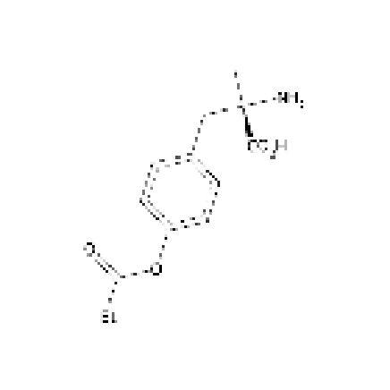 CCC(=O)Oc1ccc(C[C@](C)(N)C(=O)O)cc1